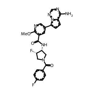 COc1ncc(-c2ccc3c(N)ncnn23)cc1C(=O)N[C@@H]1CN(C(=O)c2ccc(F)cc2)C[C@@H]1F